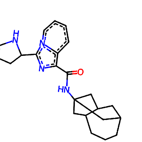 O=C(NC12CC3CCCC(C1)C(C3)C2)c1nc(C2CCCN2)n2ccccc12